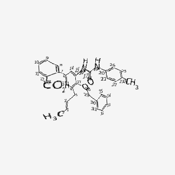 CC=CCc1cc(-c2ccccc2C(=O)O)cc(NC(=O)Nc2ccc(C)cc2)c1OCc1ccccc1